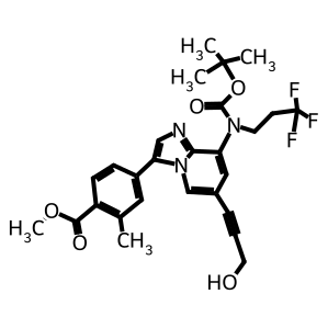 COC(=O)c1ccc(-c2cnc3c(N(CCC(F)(F)F)C(=O)OC(C)(C)C)cc(C#CCO)cn23)cc1C